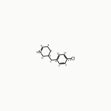 Clc1ccc(CC2CCC=NC2)cc1